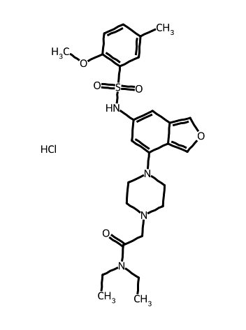 CCN(CC)C(=O)CN1CCN(c2cc(NS(=O)(=O)c3cc(C)ccc3OC)cc3cocc23)CC1.Cl